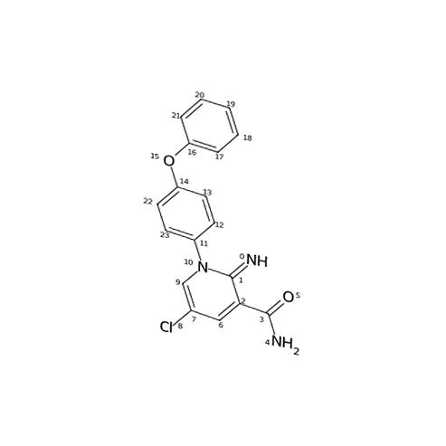 N=c1c(C(N)=O)cc(Cl)cn1-c1ccc(Oc2ccccc2)cc1